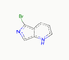 Brc1ncc2[nH]cccc1-2